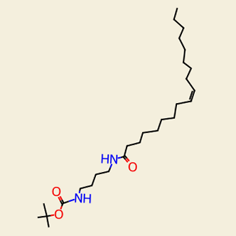 CCCCCCCC/C=C\CCCCCCCC(=O)NCCCCNC(=O)OC(C)(C)C